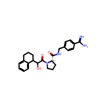 N=C(N)c1ccc(CNC(=O)[C@@H]2CCCN2C(=O)C(O)C2CCCc3ccccc32)cc1